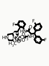 COC(=O)N[C@H](C(=O)Nc1cccc(F)c1CC[C@H]1CNC[C@H](C)N1S(C)(=O)=O)C(c1cccc(F)c1)c1cccc(F)c1